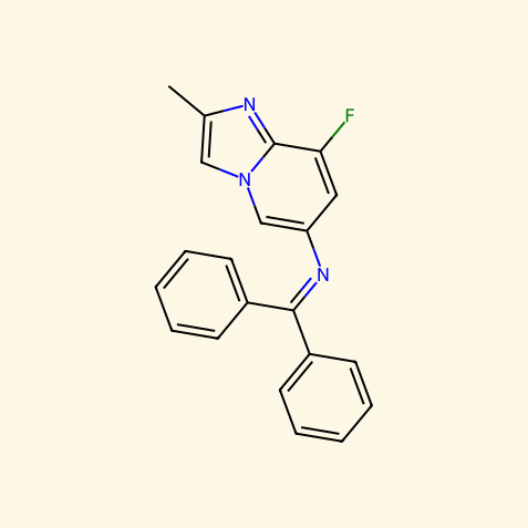 Cc1cn2cc(N=C(c3ccccc3)c3ccccc3)cc(F)c2n1